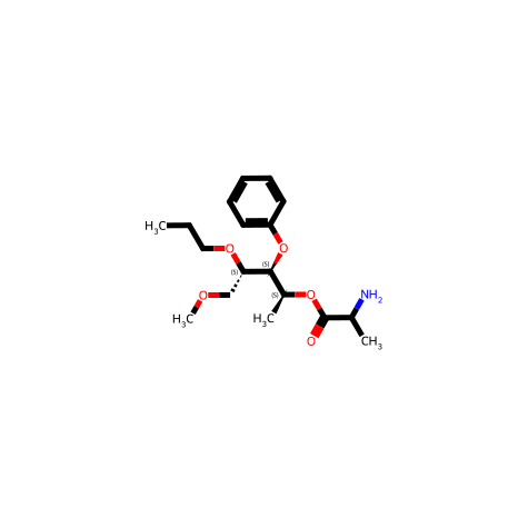 CCCO[C@@H](COC)[C@@H](Oc1ccccc1)[C@H](C)OC(=O)C(C)N